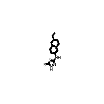 CCc1ccc2cc(Nc3n[nH]c(=S)s3)ccc2c1